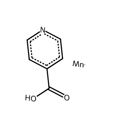 O=C(O)c1ccncc1.[Mn]